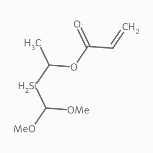 C=CC(=O)OC(C)[SiH2]C(OC)OC